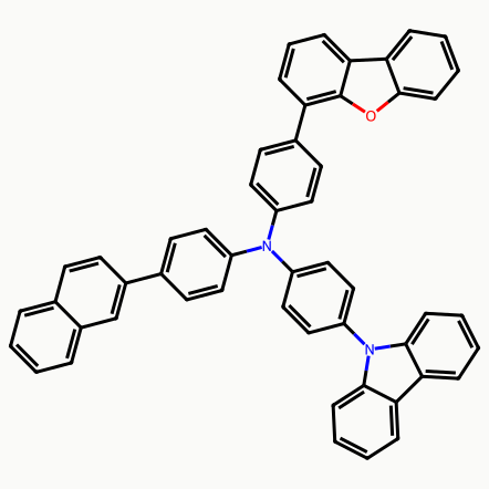 c1ccc2cc(-c3ccc(N(c4ccc(-c5cccc6c5oc5ccccc56)cc4)c4ccc(-n5c6ccccc6c6ccccc65)cc4)cc3)ccc2c1